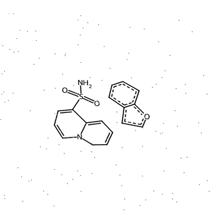 NS(=O)(=O)C1=CC=CN2CC=CC=C12.c1ccc2occc2c1